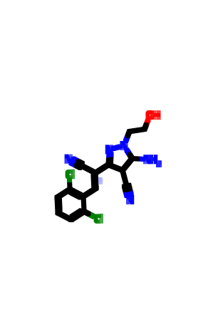 N#C/C(=C\c1c(Cl)cccc1Cl)C1=NN(CCO)C(N)C1C#N